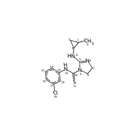 CC1CC1NC1=NCCN1C(=S)Nc1cccc(Cl)c1